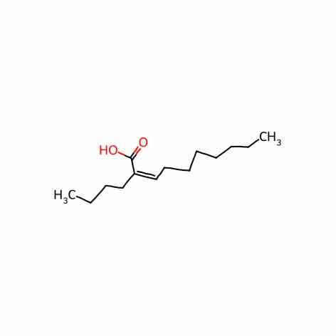 CCCCCCCC=C(CCCC)C(=O)O